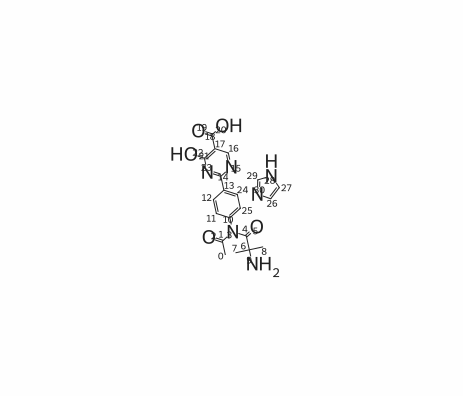 CC(=O)N(C(=O)C(C)(C)N)c1ccc(-c2ncc(C(=O)O)c(O)n2)cc1.c1c[nH]cn1